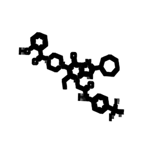 CCc1c(N2CCN(C(=O)c3ccccc3O)CC2)c(=O)n2nc(C3CCCCCC3)nc2n1CC(=O)Nc1ccc(C(F)(F)F)cc1